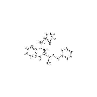 CCN(CCc1ccccc1)c1nc(Nc2cnco2)c2ccccc2n1